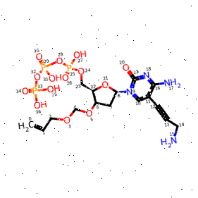 C=CCOCOC1C[C@H](n2cc(C#CCN)c(N)nc2=O)O[C@@H]1COP(=O)(O)OP(=O)(O)OP(=O)(O)O